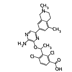 Cc1cc(-c2cnc(N)c(OC(C)c3c(Cl)ccc(C(=O)O)c3Cl)n2)cc2c1CCN(C)C2